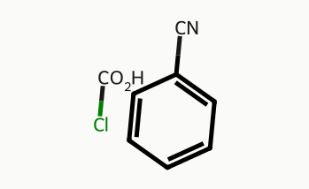 N#Cc1ccccc1.O=C(O)Cl